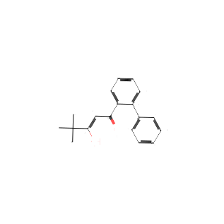 CC(C)(C)/C(O)=C/C(=O)c1ccccc1-c1ccccc1